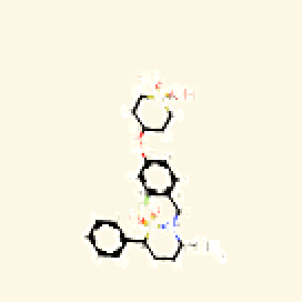 C[C@H]1CCC(c2ccccc2)S(=O)(=O)N1Cc1ccc(OC2CCS(O)(O)CC2)cc1F